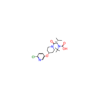 CC(C)[C@@H](C(=O)N1CCC(Oc2ccc(Cl)nc2)CC1)N(C(=O)O)C(C)(C)C